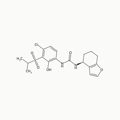 CC(C)S(=O)(=O)c1c(Cl)ccc(NC(=O)N[C@H]2CCCc3occc32)c1O